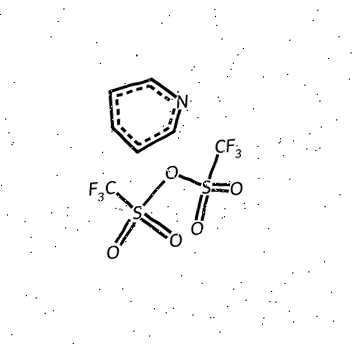 O=S(=O)(OS(=O)(=O)C(F)(F)F)C(F)(F)F.c1ccncc1